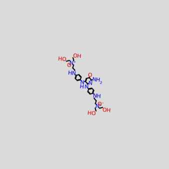 NC1=N/C(=N\c2ccc(NCCC[N+]([O-])(CCO)CCO)cc2)C(Nc2ccc(NCCC[N+]([O-])(CCO)CCO)cc2)=CC1=O